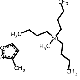 CCC[CH2][Sn]([CH3])([CH2]CCC)[CH2]CCC.Cc1ccon1